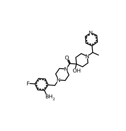 Bc1cc(F)ccc1CN1CCN(C(=O)C2(O)CCN(C(C)c3ccncc3)CC2)CC1